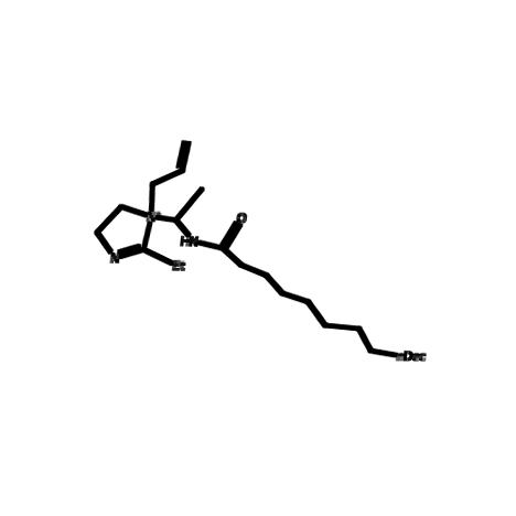 C=CC[N+]1(C(C)NC(=O)CCCCCCCCCCCCCCCCC)CCN=C1CC